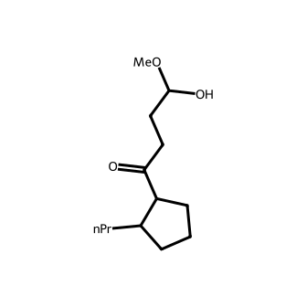 CCCC1CCCC1C(=O)CCC(O)OC